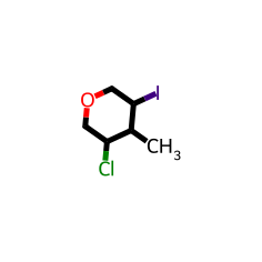 CC1C(Cl)COCC1I